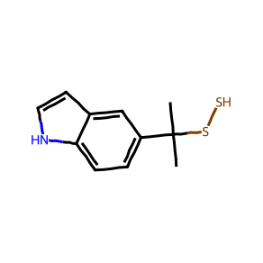 CC(C)(SS)c1ccc2[nH]ccc2c1